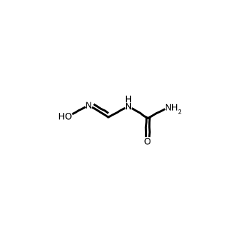 NC(=O)NC=NO